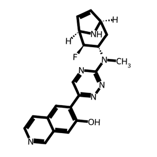 CN(c1ncc(-c2cc3ccncc3cc2O)nn1)[C@H]1C[C@@H]2C=C[C@@H](N2)[C@@H]1F